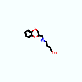 OCCCCNCC1COc2ccccc2O1